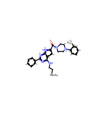 CC(=O)NCCNc1nc(-c2ccccc2)nc2[nH]c(C(=O)N3CCN(c4ccccc4C)CC3)cc12